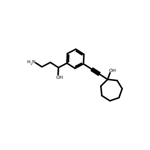 NCCC(O)c1cccc(C#CC2(O)CCCCCC2)c1